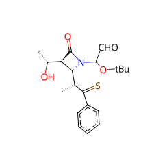 C[C@@H](O)[C@H]1C(=O)N(C(C=O)OC(C)(C)C)[C@@H]1[C@@H](C)C(=S)c1ccccc1